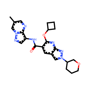 Cc1cnc2c(NC(=O)c3cc4cn(C5CCCOC5)nc4nc3OC3CCC3)cnn2c1